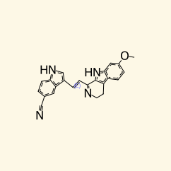 COc1ccc2c3c([nH]c2c1)C(/C=C/c1c[nH]c2ccc(C#N)cc12)=NCC3